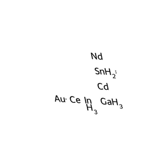 [Au].[Cd].[Ce].[GaH3].[InH3].[Nd].[SnH2]